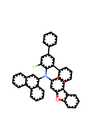 Fc1cc(-c2ccccc2)cc(-c2ccccc2)c1N(c1ccc2c(c1)oc1ccccc12)c1cc2ccccc2c2ccccc12